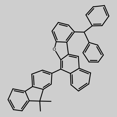 CC1(C)c2ccccc2-c2ccc(-c3c4ccccc4cc4c3oc3cccc(C(c5ccccc5)c5ccccc5)c34)cc21